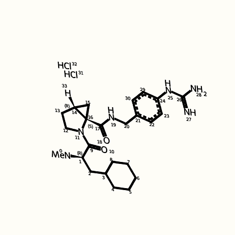 CN[C@H](CC1CCCCC1)C(=O)N1CC[C@@H]2C[C@@]21C(=O)NCc1ccc(NC(=N)N)cc1.Cl.Cl